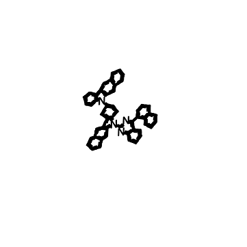 c1ccc2cc3c(cc2c1)c1ccccc1n3-c1ccc2c(c1)c1cc3ccccc3cc1n2-c1nc(-c2cccc3ccccc23)c2ccccc2n1